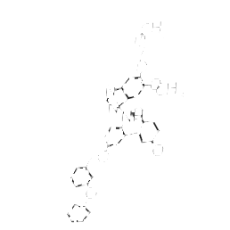 COCCOc1cc2ncnc(Nc3ccc(OCc4cccc(Oc5ccccc5)c4)cc3C3=CC(=O)C=CC3=O)c2cc1OC